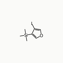 C[Si](C)(C)c1cocc1I